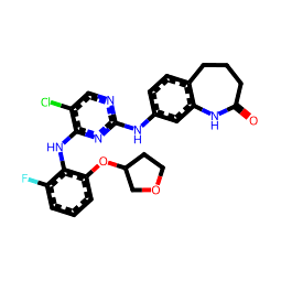 O=C1CCCc2ccc(Nc3ncc(Cl)c(Nc4c(F)cccc4OC4CCOC4)n3)cc2N1